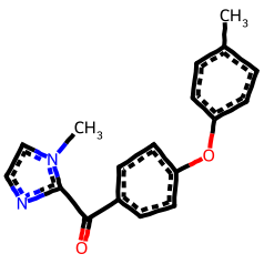 Cc1ccc(Oc2ccc(C(=O)c3nccn3C)cc2)cc1